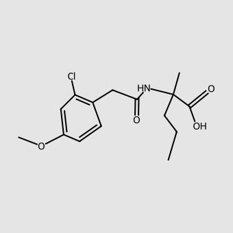 CCCC(C)(NC(=O)Cc1ccc(OC)cc1Cl)C(=O)O